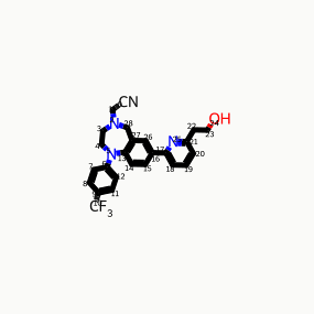 N#CCN1CCN(c2ccc(C(F)(F)F)cc2)c2ccc(-c3cccc(CCO)n3)cc2C1